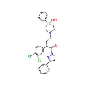 O=C(C(CCN1CCC(O)(c2ccccc2)CC1)c1ccc(Cl)c(Cl)c1)n1ccc(-c2ccccc2)n1